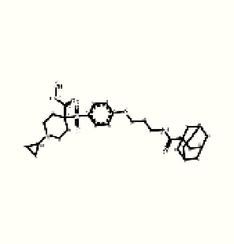 O=C(NCCCOc1ccc(S(=O)(=O)C2(C(=O)NO)CCN(C3CC3)CC2)cc1)C12CC3CC(CC(C3)C1)C2